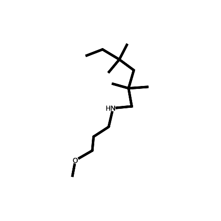 CCC(C)(C)CC(C)(C)CNCCCOC